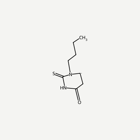 CCCCN1[CH]CC(=O)NC1=S